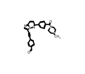 CN1CCN(C(=O)c2ccc(-c3ccc4ncc(C#Cc5ccc(C=O)cc5)n4n3)cc2)CC1